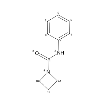 O=C(Nc1cc[c]cc1)N1CCC1